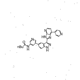 CCCCC(=O)Nc1cncc(-c2ccc3[nH]nc(-c4nc5c(-c6ccncc6)ccnc5[nH]4)c3c2)c1